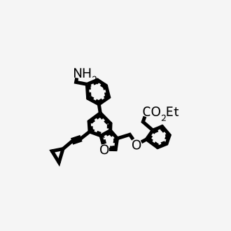 CCOC(=O)Cc1ccccc1OCc1coc2c(C#CC3CC3)cc(-c3cccc(CN)c3)cc12